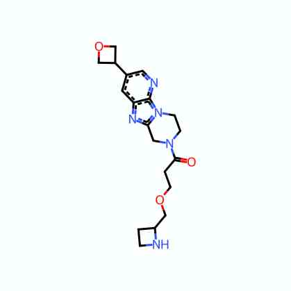 O=C(CCOCC1CCN1)N1CCn2c(nc3cc(C4COC4)cnc32)C1